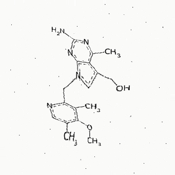 COc1c(C)cnc(Cn2cc(CO)c3c(C)nc(N)nc32)c1C